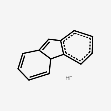 C1=CC2=Cc3ccccc3C2C=C1.[H+]